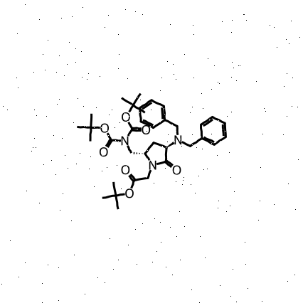 CC(C)(C)OC(=O)CN1C(=O)[C@H](N(Cc2ccccc2)Cc2ccccc2)C[C@H]1CN(C(=O)OC(C)(C)C)C(=O)OC(C)(C)C